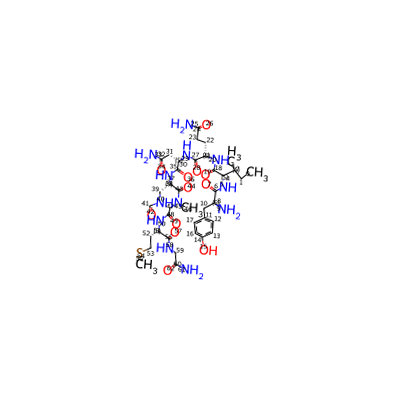 CC[C@H](C)[C@H](NC(=O)[C@@H](N)Cc1ccc(O)cc1)C(=O)N[C@@H](CCC(N)=O)C(=O)N[C@@H](CC(N)=O)C(=O)N[C@@H](CNC=O)C(=O)N(C)CC(=O)N[C@@H](CCSC)C(=O)NCC(N)=O